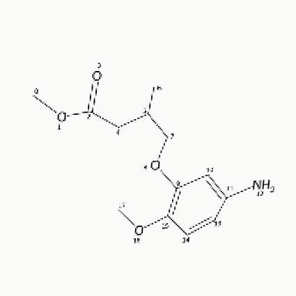 COC(=O)CC(C)COc1cc(N)ccc1OC